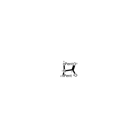 CCCCCN(CCCCC)C([O])=O